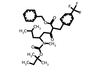 CCC(C)(C)OC(=O)N(C)C(CC(=O)C(Cc1ccc(C(F)(F)F)cc1)C(=O)OCc1ccccc1)CC(C)C